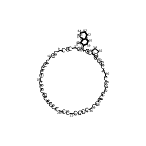 Fc1c(N2CCCCCCCCCCCCCCCCCCCCCCCCCCCCCCCCCCCCCCCCCCCCCCCCC3(CCCO3)CC2)ccc2cccnc12